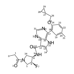 CCC(=O)N1C[C@H](F)[C@H](NC(=O)c2c(C)[nH]c3c(-c4cc(C)ccc4OCC4CC4)ncnc23)C1